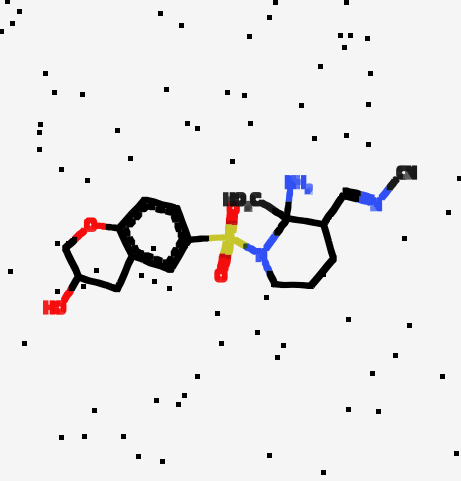 N#CN=CC1CCCN(S(=O)(=O)c2ccc3c(c2)CC(O)CO3)C1(N)C(=O)O